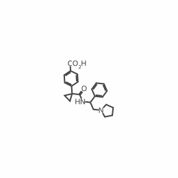 O=C(O)c1ccc(C2(C(=O)NC(CN3CCCC3)c3ccccc3)CC2)cc1